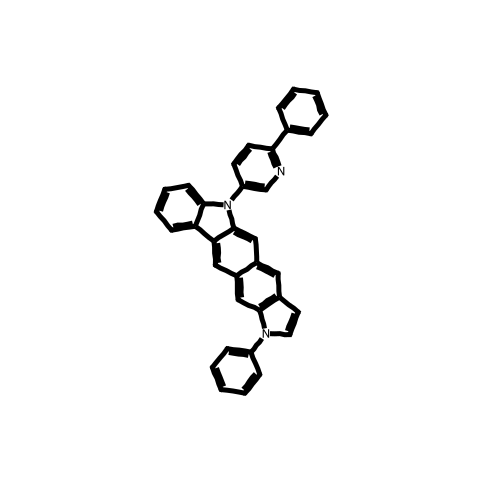 c1ccc(-c2ccc(-n3c4ccccc4c4cc5cc6c(ccn6-c6ccccc6)cc5cc43)cn2)cc1